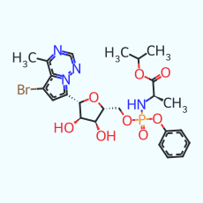 Cc1ncnn2c([C@@H]3O[C@H](COP(=O)(N[C@H](C)C(=O)OC(C)C)Oc4ccccc4)[C@@H](O)[C@H]3O)cc(Br)c12